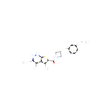 COc1cccc(SC2CN(C(=O)c3sc4nnc(C)c(C)c4c3N)C2)c1